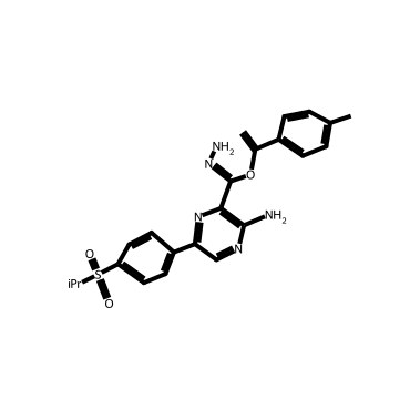 C=C(O/C(=N\N)c1nc(-c2ccc(S(=O)(=O)C(C)C)cc2)cnc1N)c1ccc(C)cc1